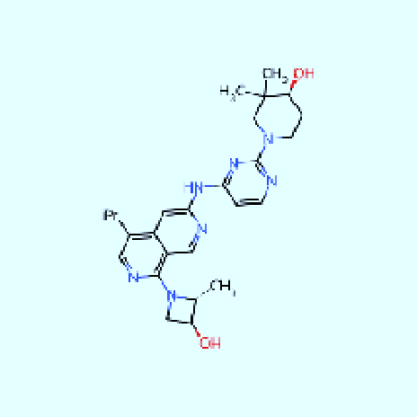 CC(C)c1cnc(N2C[C@H](O)[C@H]2C)c2cnc(Nc3ccnc(N4CC[C@H](O)C(C)(C)C4)n3)cc12